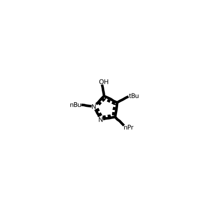 CCCCn1nc(CCC)c(C(C)(C)C)c1O